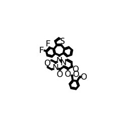 O=C1OC(Oc2c3n(ccc2=O)N(C2c4ccccc4-c4sccc4-c4c2ccc(F)c4F)C2COCCN2C3=O)c2ccccc21